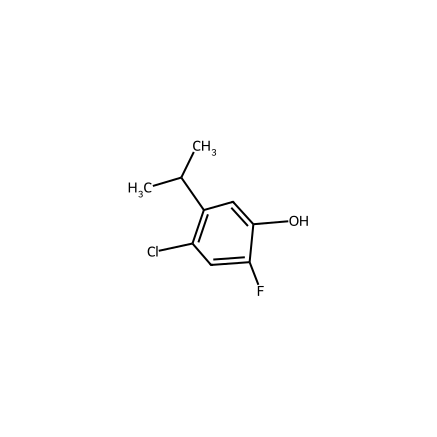 CC(C)c1cc(O)c(F)cc1Cl